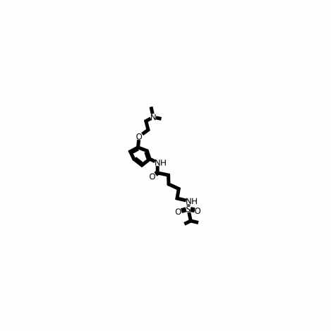 CC(C)S(=O)(=O)NCCCCC(=O)Nc1cccc(OCCN(C)C)c1